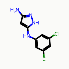 Nc1cc(Nc2cc(Cl)cc(Cl)c2)[nH]n1